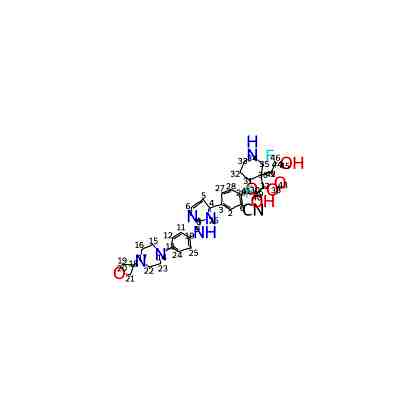 N#Cc1cc(-c2ccnc(Nc3ccc(N4CCN(C5COC5)CC4)cc3)n2)ccc1OC1CCNCC1(C(=O)[C@@H](O)F)C(=O)[C@@H](O)F